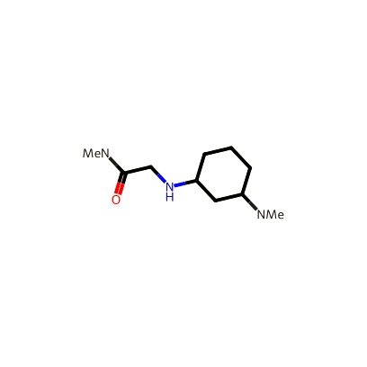 CNC(=O)CNC1CCCC(NC)C1